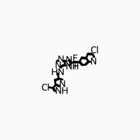 FC(F)(c1ccc2ncc(Cl)cc2c1)c1nc2ncnc(NCc3cnc4[nH]cc(Cl)c4c3)c2[nH]1